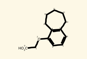 O=C(O)COc1cccc2c1CCCCC2